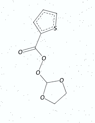 O=C(OOC1OCCO1)c1cccs1